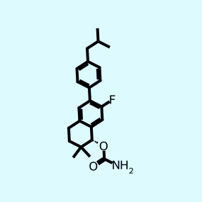 CC(C)Cc1ccc(-c2cc3c(cc2F)[C@H](OC(N)=O)C(C)(C)CC3)cc1